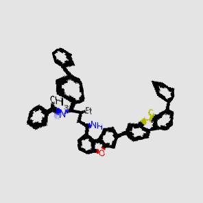 CCC(CC(=N)c1cccc2oc3cc(-c4ccc5c(c4)sc4c(-c6ccccc6)cccc45)ccc3c12)C(/N=C(\C)c1ccccc1)c1ccc(-c2ccccc2)cc1